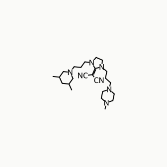 CC1CC(C)CN(CCCN2CCN(CCCN3CCN(C)CC3)C2=C(C#N)C#N)C1